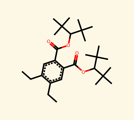 CCc1cc(C(=O)OC(C(C)(C)C)C(C)(C)C)c(C(=O)OC(C(C)(C)C)C(C)(C)C)cc1CC